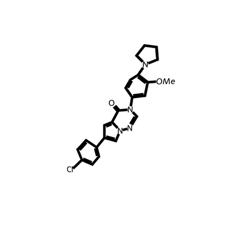 COc1cc(-n2cnn3cc(-c4ccc(Cl)cc4)cc3c2=O)ccc1N1CCCC1